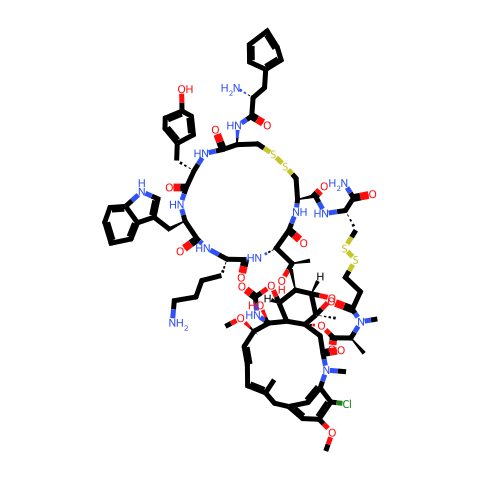 COc1cc2cc(c1Cl)N(C)C(=O)C[C@@]1(OC(=O)[C@H](C)N(C)C(=O)CCSSC[C@H](NC(=O)[C@@H]3CSSC[C@H](NC(=O)[C@H](N)Cc4ccccc4)C(=O)N[C@@H](Cc4ccc(O)cc4)C(=O)N[C@H](Cc4c[nH]c5ccccc45)C(=O)N[C@@H](CCCCN)C(=O)N[C@@H]([C@@H](C)O)C(=O)N3)C(N)=O)C3[C@H](OC(=O)N[C@@]3(O)[C@H](OC)/C=C/C=C(\C)C2)[C@@H](C)[C@@H]2O[C@]21C